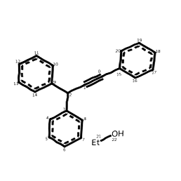 C(#CC(c1ccccc1)c1ccccc1)c1ccccc1.CCO